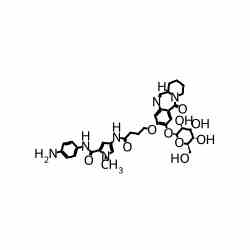 Cn1cc(NC(=O)CCCOc2cc3c(cc2O[C@@H]2O[C@H](CO)[C@@H](O)[C@H](O)[C@H]2O)C(=O)N2CCCC[C@H]2C=N3)cc1C(=O)Nc1ccc(N)cc1